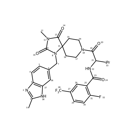 Cc1nc2ccc(CN3C(=O)N(C)C(=O)C34CCN(C(=O)C(NC(=O)c3cc(C(F)(F)F)ccc3F)C(C)C)CC4)cc2[nH]1